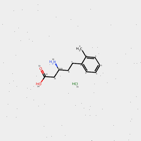 Cc1ccccc1CC[C@H](N)CC(=O)O.Cl